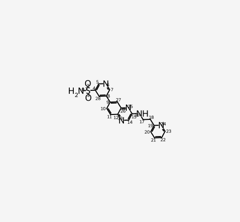 NS(=O)(=O)c1cncc(-c2ccc3ncc(NCCc4ccccn4)nc3c2)c1